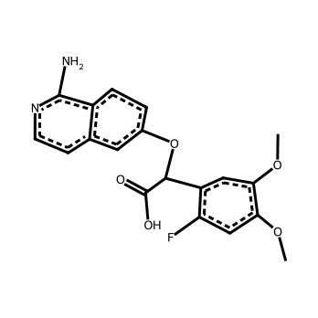 COc1cc(F)c(C(Oc2ccc3c(N)nccc3c2)C(=O)O)cc1OC